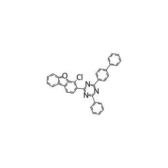 Clc1c(-c2nc(-c3ccccc3)nc(-c3ccc(-c4ccccc4)cc3)n2)ccc2c1oc1ccccc12